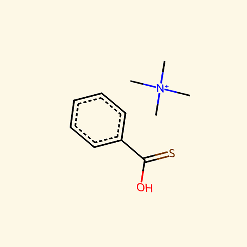 C[N+](C)(C)C.OC(=S)c1ccccc1